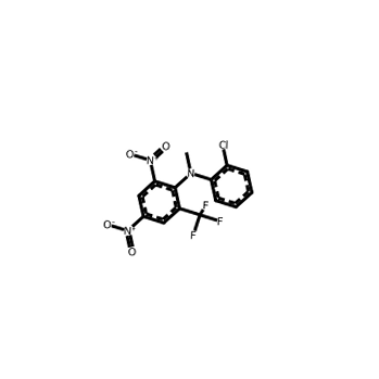 CN(c1ccccc1Cl)c1c([N+](=O)[O-])cc([N+](=O)[O-])cc1C(F)(F)F